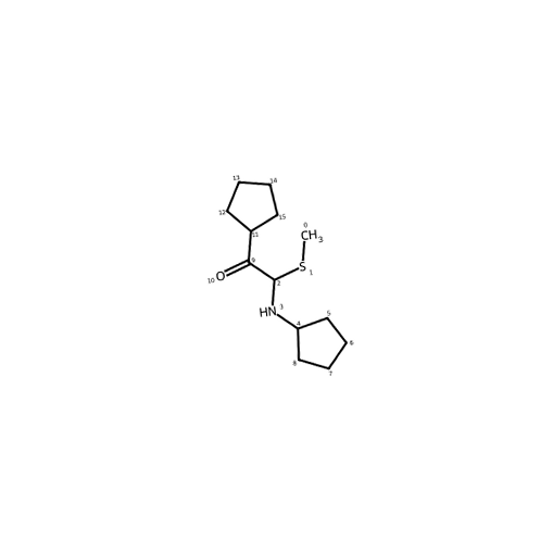 CSC(NC1CCCC1)C(=O)C1CCCC1